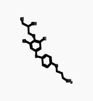 NCCCOc1ccc(Sc2cc(Cl)c(OCC(O)CCl)c(Cl)c2)cc1